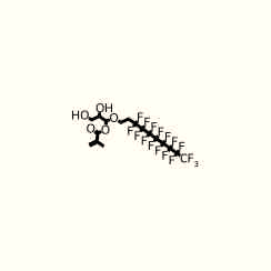 C=C(C)C(=O)OC(OCCC(F)(F)C(F)(F)C(F)(F)C(F)(F)C(F)(F)C(F)(F)C(F)(F)C(F)(F)F)C(O)CO